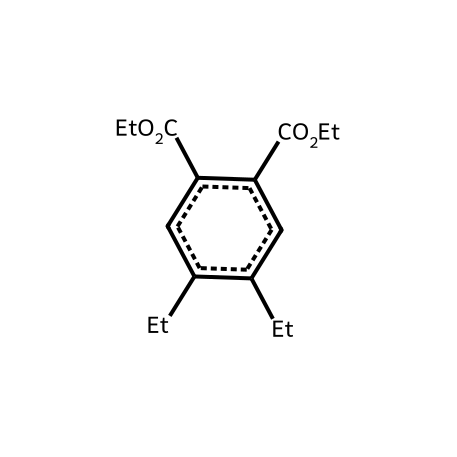 CCOC(=O)c1cc(CC)c(CC)cc1C(=O)OCC